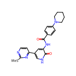 CSc1nccc(-c2c[nH]c(=O)c(NC(=O)c3ccc(N4CCCCC4)cc3)c2)n1